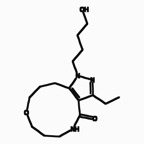 CCc1nn(CCCCO)c2c1C(=O)NCCCOCCC2